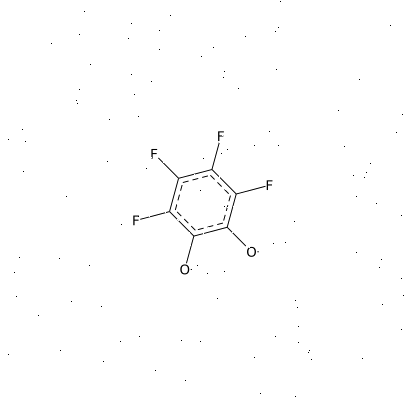 [O]c1c([O])c(F)c(F)c(F)c1F